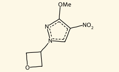 COc1nn(C2COC2)cc1[N+](=O)[O-]